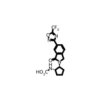 O=C(O)N[C@H]1CCC[C@@H]1N1Cc2ccc(-c3noc(C(F)(F)F)n3)cc2C1=O